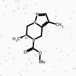 Cc1cnn2c1CN(C(=O)OC(C)(C)C)[C@@H](C)C2